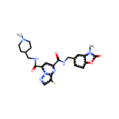 CN1CCC(CNC(=O)c2cc(C(=O)NCc3ccc4oc(=O)n(C)c4c3)nc3c(F)cnn23)CC1